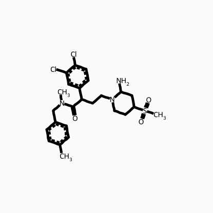 Cc1ccc(CN(C)C(=O)C(CCN2CCC(S(C)(=O)=O)CC2N)c2ccc(Cl)c(Cl)c2)cc1